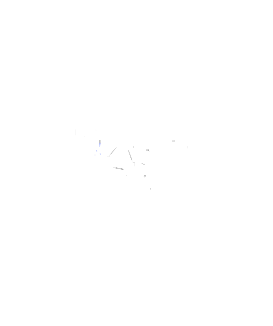 Cc1nc2ccc(C3CCCCCCCCCCC3)cc2s1